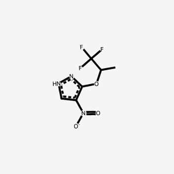 CC(Oc1n[nH]cc1[N+](=O)[O-])C(F)(F)F